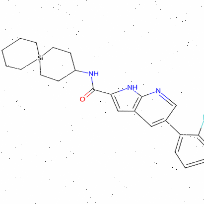 O=C(NC1CC[Si]2(CCCCC2)CC1)c1cc2cc(-c3ccccc3F)cnc2[nH]1